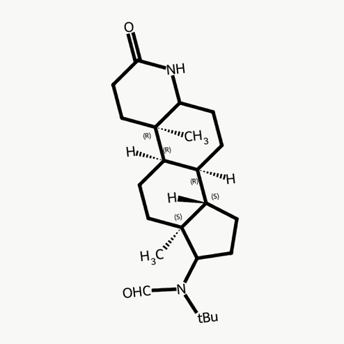 CC(C)(C)N(C=O)C1CC[C@H]2[C@@H]3CCC4NC(=O)CC[C@]4(C)[C@@H]3CC[C@]12C